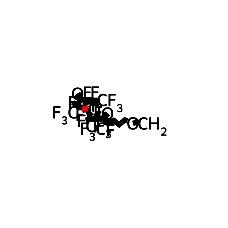 C=COCCCC(F)(C(=O)C(F)(F)C(F)(C(=O)C(F)(F)C(F)(C(=O)C(F)(F)C(F)(F)C(F)(F)F)C(F)(F)F)C(F)(F)F)C(F)(F)F